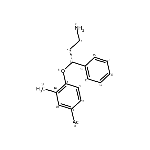 CC(=O)c1ccc(O[C@H](CCN)c2ccccc2)c(C)c1